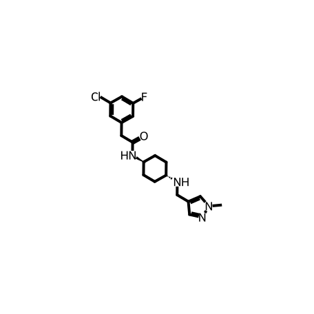 Cn1cc(CN[C@H]2CC[C@H](NC(=O)Cc3cc(F)cc(Cl)c3)CC2)cn1